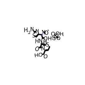 CO/N=C(\C(=O)N[C@@H]1C(=O)N2C(C(=O)O)=CCS[C@H]12)c1csc(N)n1.O=S(=O)(O)O